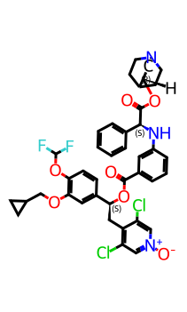 O=C(O[C@@H](Cc1c(Cl)c[n+]([O-])cc1Cl)c1ccc(OC(F)F)c(OCC2CC2)c1)c1cccc(N[C@H](C(=O)O[C@H]2CN3CCC2CC3)c2ccccc2)c1